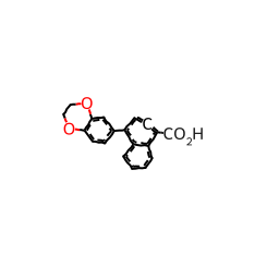 O=C(O)c1ccc(-c2ccc3c(c2)OCCO3)c2ccccc12